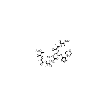 CC(=O)O[C@@H](C)C(=O)O[C@@H](C)C(=O)O[C@H](COc1nsnc1N1CCOCC1)CN(C(=O)[C@H](C)OC(=O)[C@H](C)OC(=O)[C@H](C)OC(=O)[C@H](C)OC(C)=O)C(C)(C)C